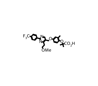 COCCc1nc(-c2ccc(C(F)(F)F)cc2)ncc1COc1ccc(OC(C)(C)C(=O)O)c(C)c1